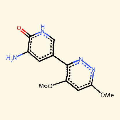 COc1cc(OC)c(-c2c[nH]c(=O)c(N)c2)nn1